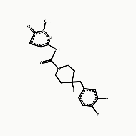 Cn1nc(NC(=O)N2CCC(F)(Cc3ccc(F)c(F)c3)CC2)ccc1=O